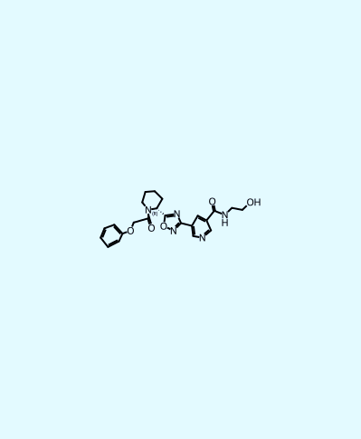 O=C(NCCO)c1cncc(-c2noc([C@H]3CCCCN3C(=O)COc3ccccc3)n2)c1